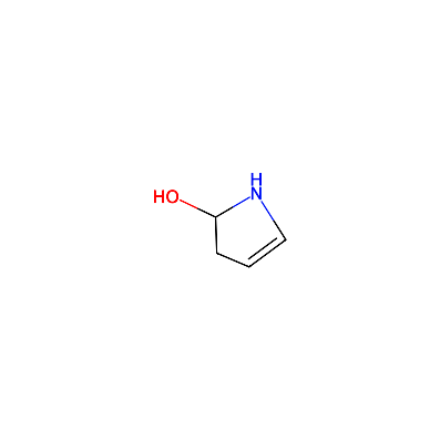 OC1CC=CN1